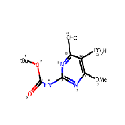 COc1nc(NC(=O)OC(C)(C)C)nc(C=O)c1C(=O)O